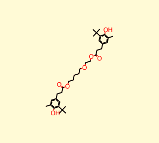 Cc1cc(CCC(=O)OCCCCCOCCOC(=O)CCc2cc(C)c(O)c(C(C)(C)C)c2)cc(C(C)(C)C)c1O